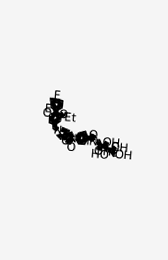 CCOc1cc(CN2CCC3(CC2)CN(c2ccc(C(=O)NCC(O)C(O)C(O)C(O)CO)cc2)C(=O)O3)cc(OCC)c1-c1ccc(F)cc1